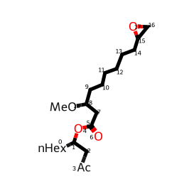 CCCCCCC(CC(C)=O)OC(=O)CC(CCCCCCC1CO1)OC